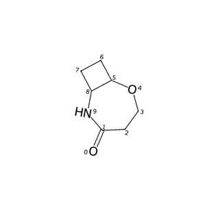 O=C1CCOC2CCC2N1